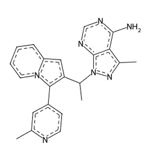 Cc1cc(-c2c(C(C)n3nc(C)c4c(N)ncnc43)cc3ccccn23)ccn1